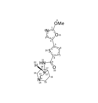 COc1ncc(-c2ccc(C(=O)N[C@H]3CN4CCC3CC4)s2)o1